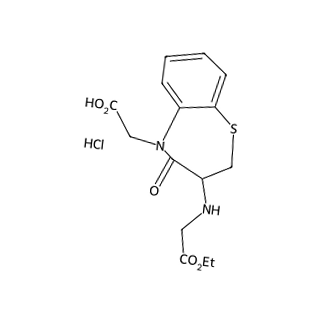 CCOC(=O)CNC1CSc2ccccc2N(CC(=O)O)C1=O.Cl